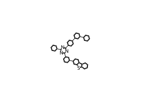 c1ccc(-c2cccc(-c3ccc(-c4nc(-c5ccccc5)nc(-c5cccc(-c6ccc7c(c6)sc6ccccc67)c5)n4)cc3)c2)cc1